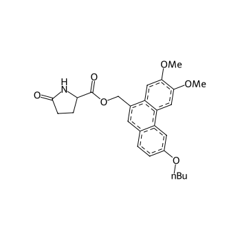 CCCCOc1ccc2cc(COC(=O)C3CCC(=O)N3)c3cc(OC)c(OC)cc3c2c1